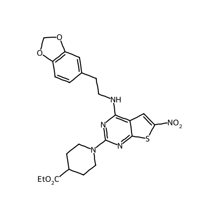 CCOC(=O)C1CCN(c2nc(NCCc3ccc4c(c3)OCO4)c3cc([N+](=O)[O-])sc3n2)CC1